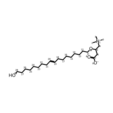 C[N+](C)(C)CC(CC(=O)[O-])OCCCCCCCCC=CCCCCCCCCO